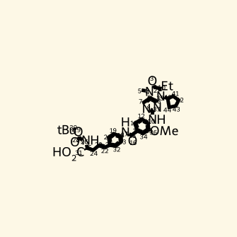 CC[C@@H]1C(=O)N(C)c2cnc(Nc3ccc(C(=O)Nc4ccc(C=CC[C@H](NC(=O)OC(C)(C)C)C(=O)O)cc4)cc3OC)nc2N1C1CCCC1